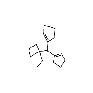 CCC1([C](C2=CCCC2)C2=CCCC2)COC1